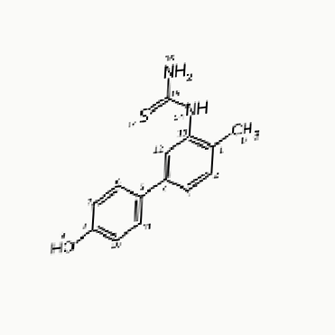 Cc1ccc(-c2ccc(O)cc2)cc1NC(N)=S